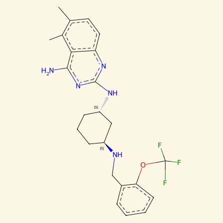 Cc1ccc2nc(N[C@H]3CCC[C@H](NCc4ccccc4OC(F)(F)F)C3)nc(N)c2c1C